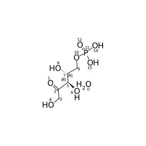 O.O=C(CO)[C@H](O)[C@H](O)COP(=O)(O)O